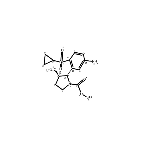 CCOC(=O)[C@@H]1CCN(C(=O)OC(C)(C)C)[C@H]1c1cc(N)ccc1S(=O)(=O)C1CC1